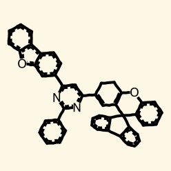 C1=C(c2cc(-c3ccc4c(c3)oc3ccccc34)nc(-c3ccccc3)n2)CCC2=C1C1(c3ccccc3O2)c2ccccc2-c2ccccc21